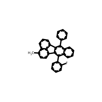 Cc1ccc2c3c(cccc13)-c1c-2c(-c2ccccc2F)c2ccccc2c1-c1ccccc1